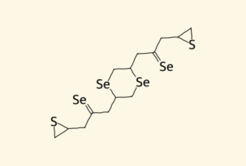 [Se]=C(CC1CS1)CC1C[Se]C(CC(=[Se])CC2CS2)C[Se]1